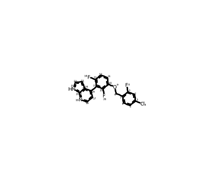 Fc1cc(Cl)ccc1COc1ccc(F)c(-c2ccnc3[nH]c[c]c23)c1F